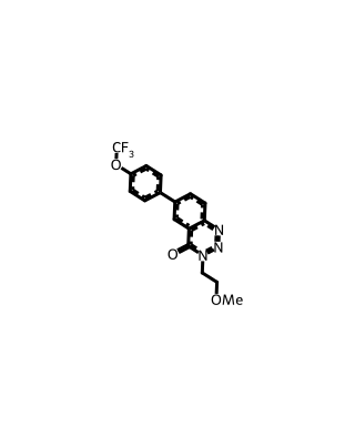 COCCn1nnc2ccc(-c3ccc(OC(F)(F)F)cc3)cc2c1=O